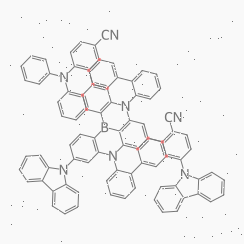 N#Cc1ccc(N(c2ccccc2)c2ccccc2)c(-c2ccc3c(c2)N(c2ccccc2-c2ccccc2)c2cc(-c4cc(-n5c6ccccc6c6ccccc65)ccc4C#N)cc4c2B3c2ccc(-n3c5ccccc5c5ccccc53)cc2N4c2ccccc2-c2ccccc2)c1